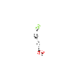 C=C(C)C(=O)OCC(CCC1CCC(c2ccc(CCCCC(F)(F)F)cc2)CC1)COC